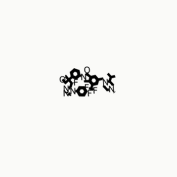 CC(C)C1CN(C)CCN1Cc1cc2c(c(C(F)(F)F)c1)CN(c1cccc(C3([C@H](F)c4nncn4-c4ccccc4)COC3)c1)C2=O